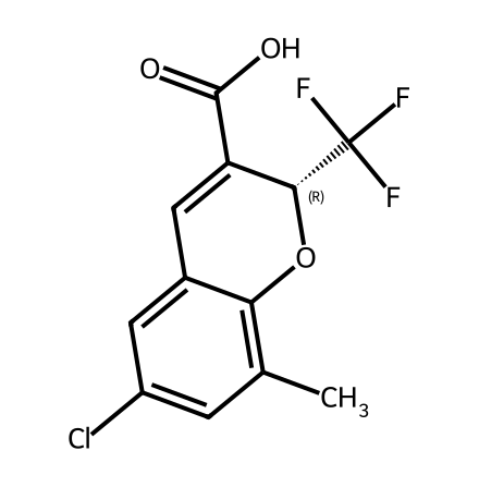 Cc1cc(Cl)cc2c1O[C@@H](C(F)(F)F)C(C(=O)O)=C2